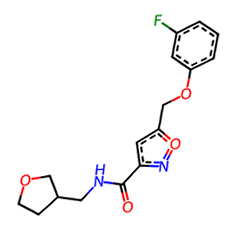 O=C(NCC1CCOC1)c1cc(COc2cccc(F)c2)on1